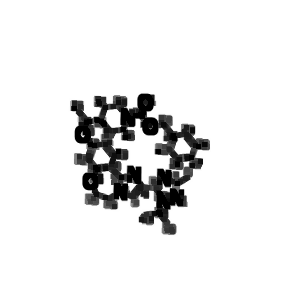 Cc1nc(-c2cn3c(n2)-c2ccc(OC(C)C4CCN(C(=O)OCc5ccccc5)CC4)cc2OCC3)n(C(C)C)n1